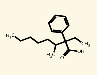 CCCCCC(C)C(CC)(C(=O)O)c1ccccc1